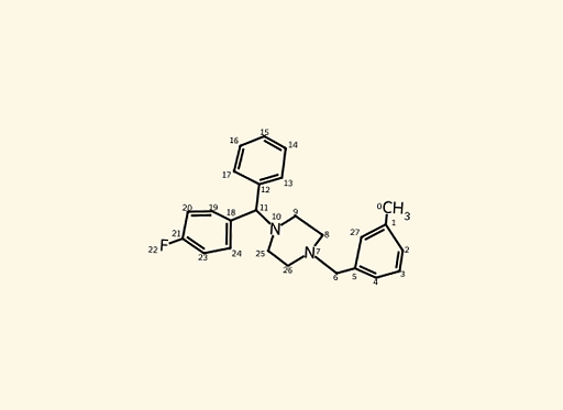 Cc1cccc(CN2CCN(C(c3ccccc3)c3ccc(F)cc3)CC2)c1